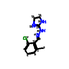 Cc1cccc(Cl)c1/C=N/NC1=NCCN1